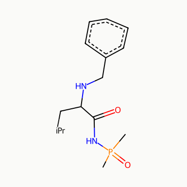 CC(C)CC(NCc1ccccc1)C(=O)NP(C)(C)=O